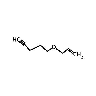 C#CCCCOCC=C